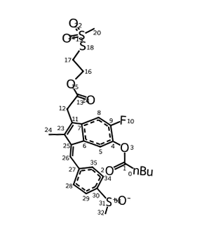 CCCCC(=O)Oc1cc2c(cc1F)C(CC(=O)OCCSS(C)(=O)=O)=C(C)/C2=C/c1ccc([S+](C)[O-])cc1